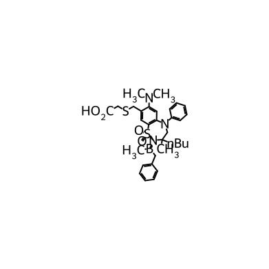 CCCCC1(C)CN(c2ccccc2)c2cc(N(C)C)c(CSCC(=O)O)cc2S(=O)(=O)N1B(C)Cc1ccccc1